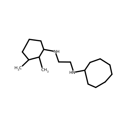 CC1CCCC(NCCNC2CCCCCCC2)C1C